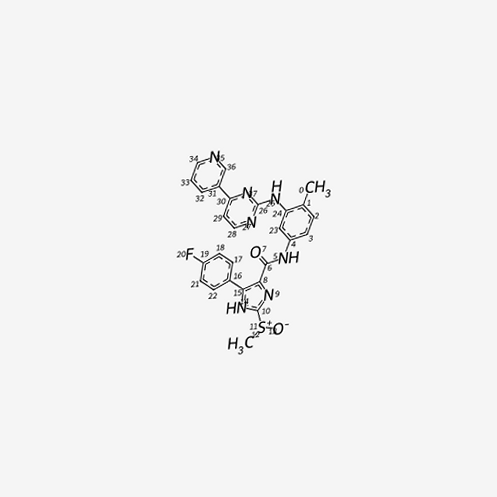 Cc1ccc(NC(=O)c2nc([S+](C)[O-])[nH]c2-c2ccc(F)cc2)cc1Nc1nccc(-c2cccnc2)n1